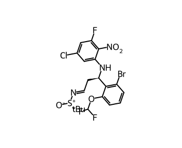 CC(C)(C)[S@@+]([O-])/N=C/C[C@@H](Nc1cc(Cl)cc(F)c1[N+](=O)[O-])c1c(Br)cccc1OC(F)F